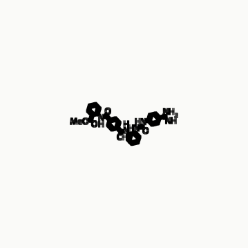 COC(=O)c1ccccc1NC(=O)c1ccc(C(C)Nc2ccccc2NC(=O)Nc2ccc(C(=N)N)cc2)cc1